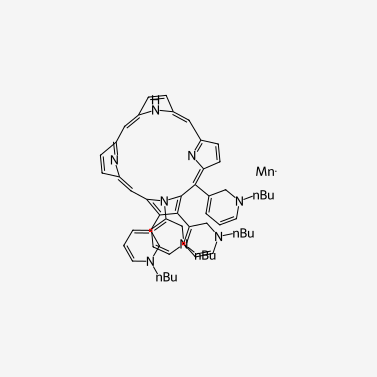 CCCCN1C=CC=C(c2c(C3=CC=CN(CCCC)C3)c3c(C4=CC=CN(CCCC)C4)c4nc(cc5ccc(cc6nc(cc2n3C2=CC=CN(CCCC)C2)C=C6)[nH]5)C=C4)C1.[Mn]